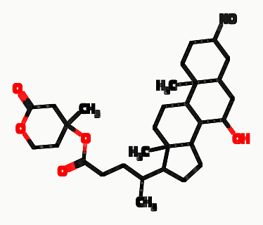 CC(CCC(=O)OC1(C)CCOC(=O)C1)C1CCC2C3C(O)CC4CC(N=O)CCC4(C)C3CCC12C